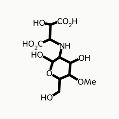 COC1C(CO)OC(O)C(NC(C(=O)O)C(O)C(=O)O)C1O